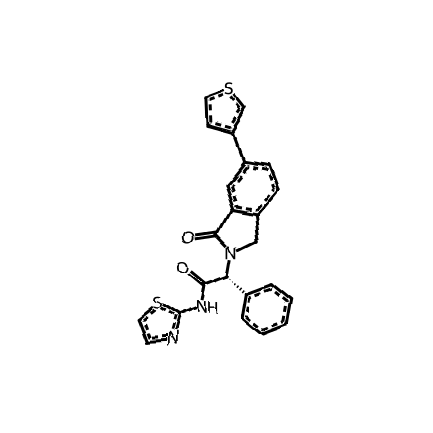 O=C(Nc1nccs1)[C@@H](c1ccccc1)N1Cc2ccc(-c3ccsc3)cc2C1=O